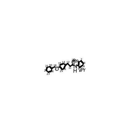 CC(C)c1cccc(C(C)C)c1NC(=O)CCc1ccc(OCc2ccccc2)cc1